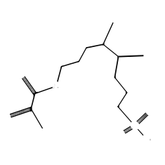 C=C(C)C(=O)NCCCC(C)C(C)CCCS(=O)(=O)O